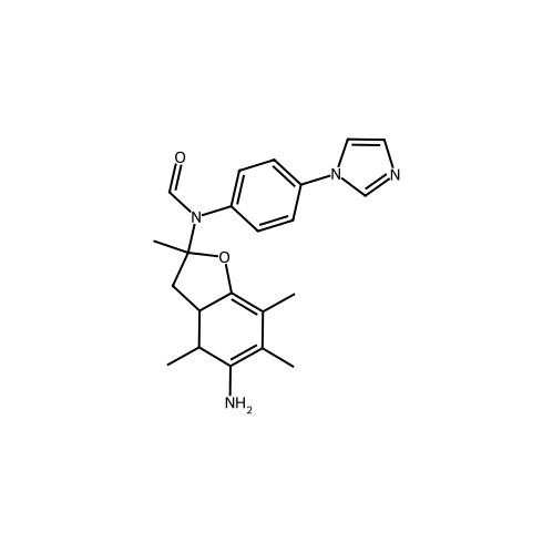 CC1=C(N)C(C)C2CC(C)(N(C=O)c3ccc(-n4ccnc4)cc3)OC2=C1C